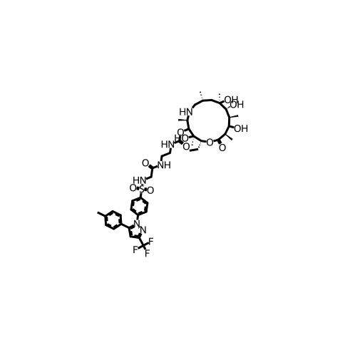 CC[C@H]1OC(=O)[C@H](C)C(O)[C@H](C)[C@@H](O)[C@](C)(O)C[C@@H](C)CN[C@H](C)C(OC(=O)NCCNC(=O)CNS(=O)(=O)c2ccc(-n3nc(C(F)(F)F)cc3-c3ccc(C)cc3)cc2)[C@]1(C)O